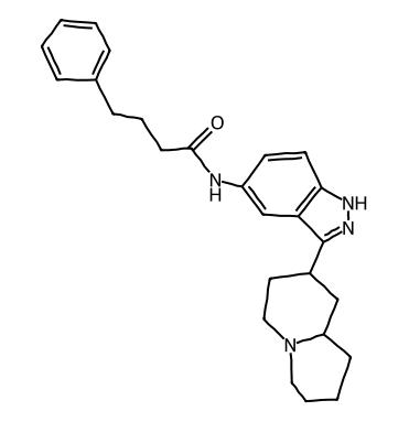 O=C(CCCc1ccccc1)Nc1ccc2[nH]nc(C3CCN4CCCCC4C3)c2c1